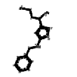 CCCC(CCC(C)C)c1cc(NCc2ccccc2)on1